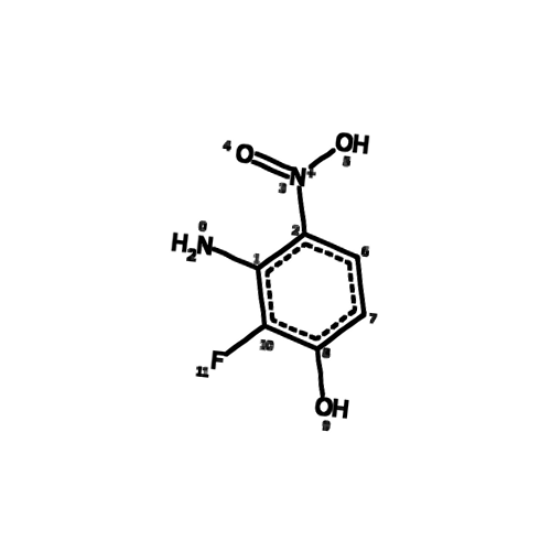 Nc1c([N+](=O)O)ccc(O)c1F